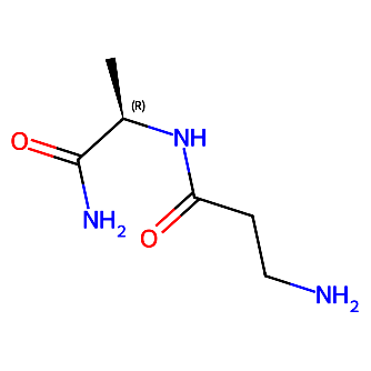 C[C@@H](NC(=O)CCN)C(N)=O